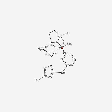 CCn1cc(Nc2nccc(N3C[C@H]4CC[C@@H](C3)N4C(C)(O)[C@@H]3C[C@H]3C)n2)cn1